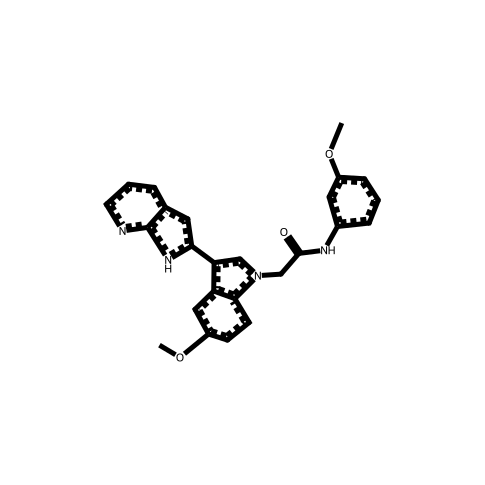 COc1cccc(NC(=O)Cn2cc(-c3cc4cccnc4[nH]3)c3cc(OC)ccc32)c1